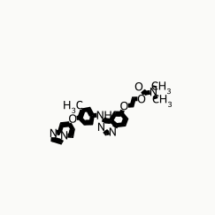 Cc1cc(Nc2ncnc3ccc(OCCOC(=O)N(C)C)cc23)ccc1Oc1ccn2ccnc2c1